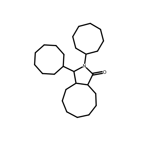 O=C1C2CCCCCCCC2C(C2CCCCCCC2)N1C1CCCCCCC1